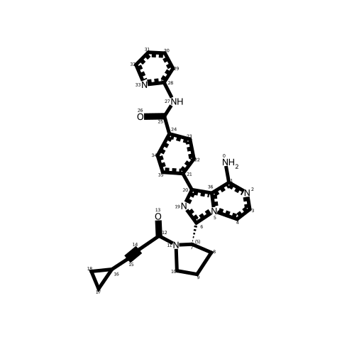 Nc1nccn2c([C@@H]3CCCN3C(=O)C#CC3CC3)nc(-c3ccc(C(=O)Nc4ccccn4)cc3)c12